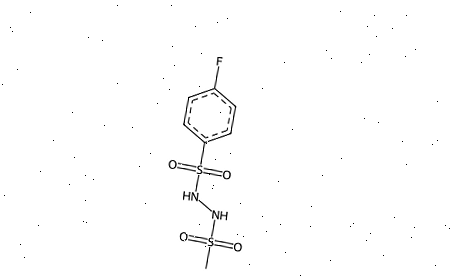 CS(=O)(=O)NNS(=O)(=O)c1ccc(F)cc1